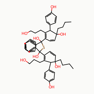 CCCCC1(O)C=CC(C(O)(SC(O)(C2=C(CCCO)C(c3ccc(O)cc3)C(O)(CCCC)C=C2)c2ccccc2)c2ccccc2)=C(CCCO)C1c1ccc(O)cc1